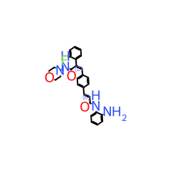 Nc1ccccc1NC(=O)/C=C/c1ccc(/C=C(\C(=O)NN2CCOCC2)c2ccccc2F)cc1